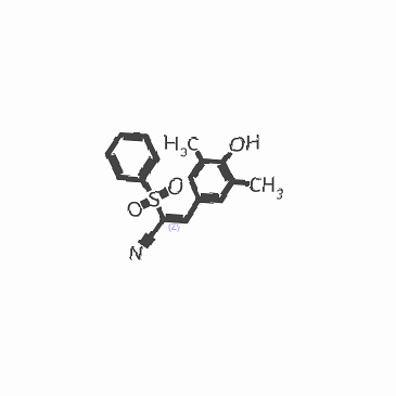 Cc1cc(/C=C(/C#N)S(=O)(=O)c2ccccc2)cc(C)c1O